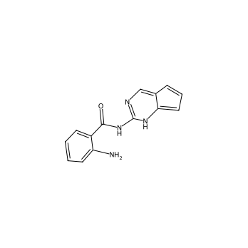 Nc1ccccc1C(=O)Nc1ncc2cccc-2[nH]1